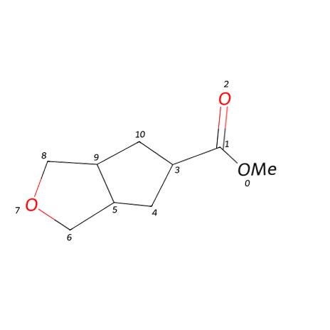 COC(=O)C1CC2COCC2C1